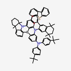 CC(C)(C)c1ccc(N(c2ccc(C(C)(C)C)cc2)c2ccc3c(c2)N(c2cc4c(cc2-c2ccccc2)C(C)(C)CCC4(C)C)c2cc(-c4cccc5c4sc4ccccc45)cc4c2B3c2cccc3c2N4C2(C)CCCCC32C)cc1